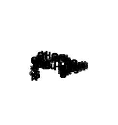 Cc1ncsc1-c1ccc(CNC(=O)[C@@H]2C[C@@H](O)CN2C(=O)C(NC(=O)CCCCC(=O)NCc2ccc(COCC(NC(=O)c3ccn(S(C)(=O)=O)c3)C(=O)Nc3nc(-c4ccccc4)cs3)cc2)C(C)(C)C)cc1